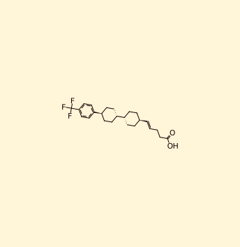 O=C(O)CCC=C[C@H]1CC[C@H]([C@H]2CC[C@H](c3ccc(C(F)(F)F)cc3)CC2)CC1